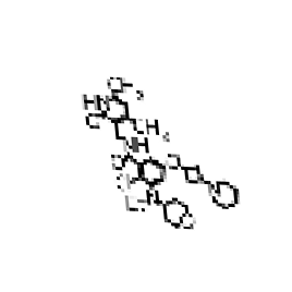 CCN(c1cc(OC2CC(N3CCCCC3)C2)cc(C(=O)NCc2c(C)cc(C)[nH]c2=O)c1Cl)C1CCOCC1